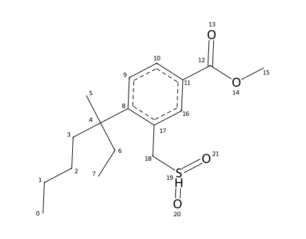 CCCCC(C)(CC)c1ccc(C(=O)OC)cc1C[SH](=O)=O